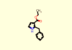 CCOC(=O)c1cc[nH]c1Cc1ccccc1